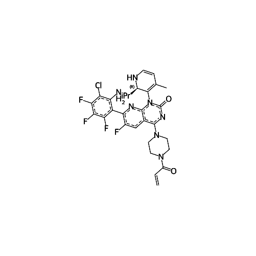 C=CC(=O)N1CCN(c2nc(=O)n(C3=C(C)C=CN[C@@H]3C(C)C)c3nc(-c4c(N)c(Cl)c(F)c(F)c4F)c(F)cc23)CC1